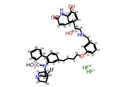 F.F.O=C(O)N(c1cc(CCCCOc2cccc(CNC[C@H](O)c3ccc(O)c4[nH]c(=O)ccc34)c2)ccc1-c1ccccc1)[C@H]1CN2CCC1CC2